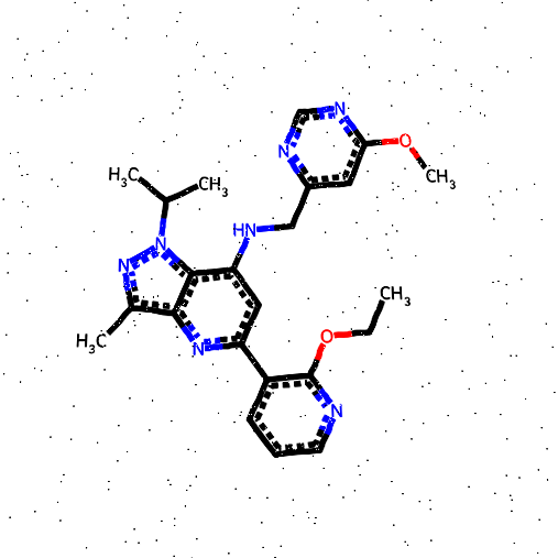 CCOc1ncccc1-c1cc(NCc2cc(OC)ncn2)c2c(n1)c(C)nn2C(C)C